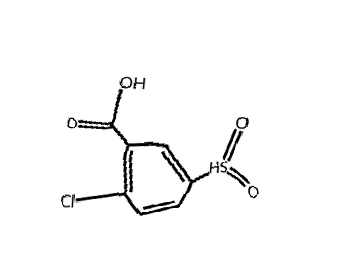 O=C(O)c1cc([SH](=O)=O)ccc1Cl